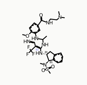 COc1ccc(C(=O)NCCN(C)C)cc1NC(C)N/C(N[C@@H]1Cc2ccccc2[C@H]1N(C)S(C)(=O)=O)=C(\C=N)C(F)(F)F